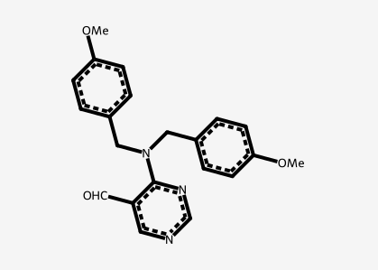 COc1ccc(CN(Cc2ccc(OC)cc2)c2ncncc2C=O)cc1